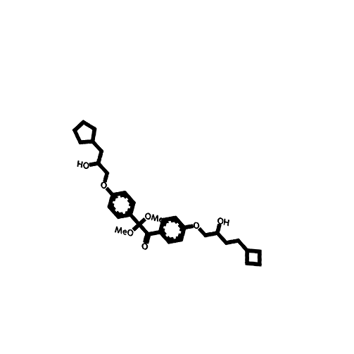 COC(OC)(C(=O)c1ccc(OCC(O)CCC2CCC2)cc1)c1ccc(OCC(O)CC2CCCC2)cc1